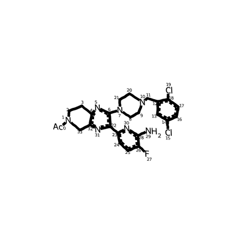 CC(=O)N1CCc2nc(N3CCN(Cc4cc(Cl)ccc4Cl)CC3)c(-c3ccc(F)c(N)n3)nc2C1